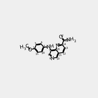 COc1ccc(Nc2cncc3ccc(C(N)=O)nc23)cc1